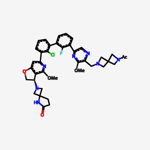 COc1nc(-c2cccc(-c3cccc(-c4cc5c(c(OC)n4)[C@@H](N4CC6(CCC(=O)N6)C4)CO5)c3Cl)c2F)cnc1CN1CC2(C1)CN(C(C)=O)C2